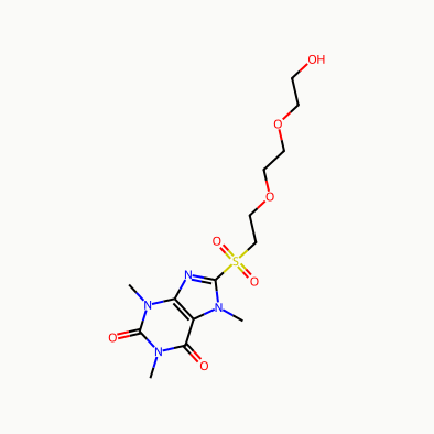 Cn1c(=O)c2c(nc(S(=O)(=O)CCOCCOCCO)n2C)n(C)c1=O